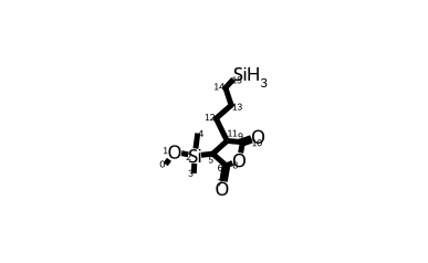 CO[Si](C)(C)C1C(=O)OC(=O)C1CCC[SiH3]